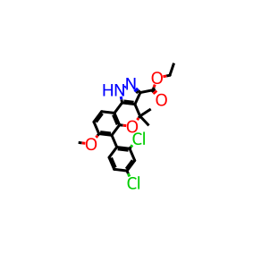 CCOC(=O)c1n[nH]c2c1C(C)(C)Oc1c-2ccc(OC)c1-c1ccc(Cl)cc1Cl